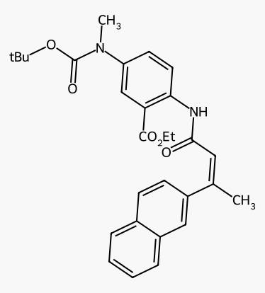 CCOC(=O)c1cc(N(C)C(=O)OC(C)(C)C)ccc1NC(=O)/C=C(/C)c1ccc2ccccc2c1